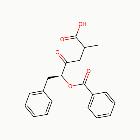 CC(CC(=O)[C@H](Cc1ccccc1)OC(=O)c1ccccc1)C(=O)O